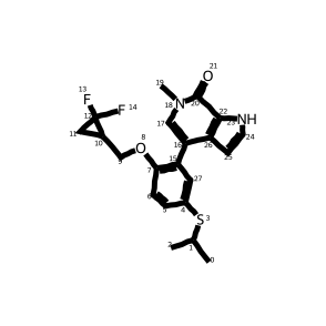 CC(C)Sc1ccc(OCC2CC2(F)F)c(-c2cn(C)c(=O)c3[nH]ccc23)c1